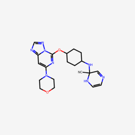 N#CC1(NC2CCC(Oc3nc(N4CCOCC4)cc4ncnn34)CC2)C=NC=CN1